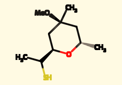 CO[C@@]1(C)C[C@H](C)O[C@@H](C(C)S)C1